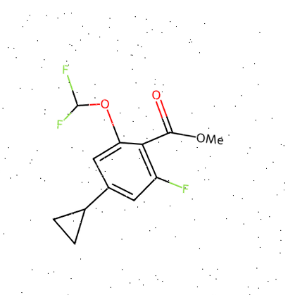 COC(=O)c1c(F)cc(C2CC2)cc1OC(F)F